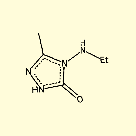 CCNn1c(C)n[nH]c1=O